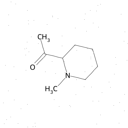 CC(=O)C1CCCCN1C